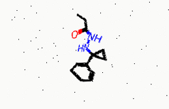 CCC(=O)NNC1(c2ccccc2)CC1